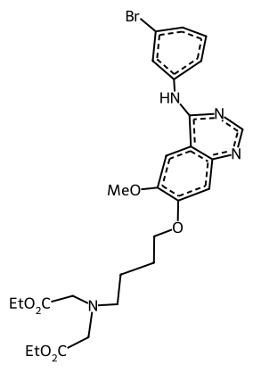 CCOC(=O)CN(CCCCOc1cc2ncnc(Nc3cccc(Br)c3)c2cc1OC)CC(=O)OCC